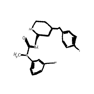 CN(C(=O)NC1CC(Cc2ccc(F)cc2)CCN1)c1cccc(F)c1